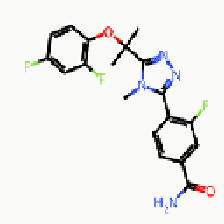 Cn1c(-c2ccc(C(N)=O)cc2F)nnc1C(C)(C)Oc1ccc(F)cc1F